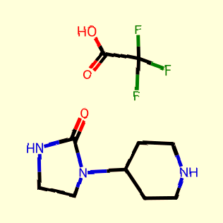 O=C(O)C(F)(F)F.O=C1NCCN1C1CCNCC1